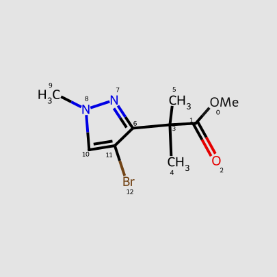 COC(=O)C(C)(C)c1nn(C)cc1Br